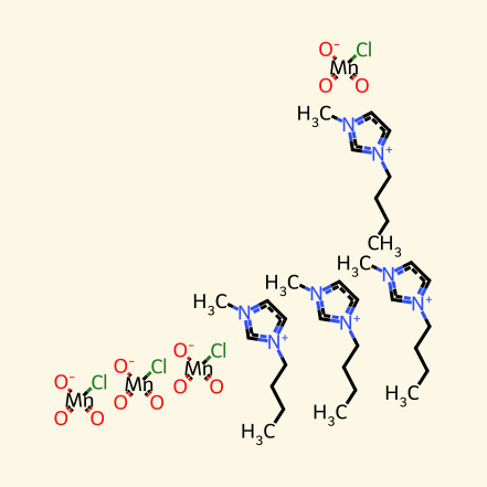 CCCC[n+]1ccn(C)c1.CCCC[n+]1ccn(C)c1.CCCC[n+]1ccn(C)c1.CCCC[n+]1ccn(C)c1.[O]=[Mn](=[O])([O-])[Cl].[O]=[Mn](=[O])([O-])[Cl].[O]=[Mn](=[O])([O-])[Cl].[O]=[Mn](=[O])([O-])[Cl]